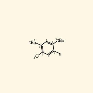 Cc1cc([O])c(C(C)(C)C)cc1C(C)(C)C